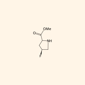 COC(=O)C1C[C@H](F)CN1